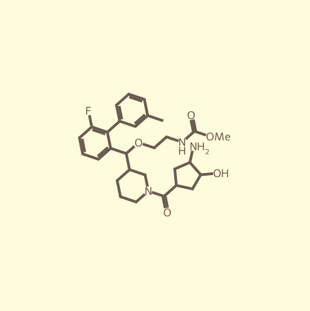 COC(=O)NCCOC(c1cccc(F)c1-c1cccc(C)c1)C1CCCN(C(=O)C2CC(N)C(O)C2)C1